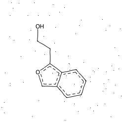 OCCc1occ2ccccc12